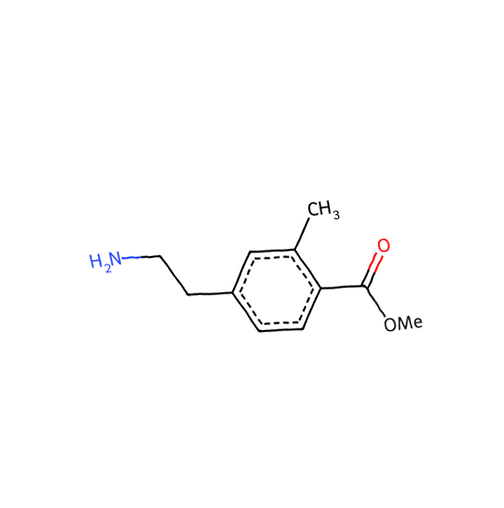 COC(=O)c1ccc(CCN)cc1C